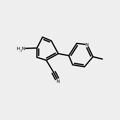 Cc1ccc(-c2ccc(N)cc2C#N)cn1